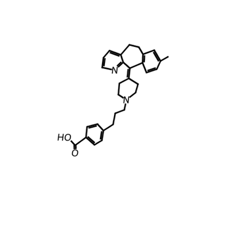 Cc1ccc2c(c1)CCc1cccnc1C2=C1CCN(CCCc2ccc(C(=O)O)cc2)CC1